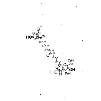 CC(=O)NC1C(OCCCCCC(=O)NCCCCCC(=O)N2C[C@H](O)C[C@H]2COI)OC(CO)C(O)C1O